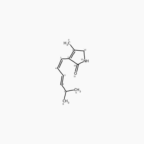 CC1=C(/C=C\C=C\C(C)C)C(=O)NC1